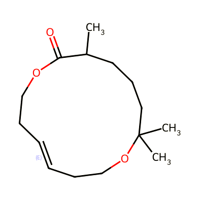 CC1CCCC(C)(C)OCC/C=C/CCOC1=O